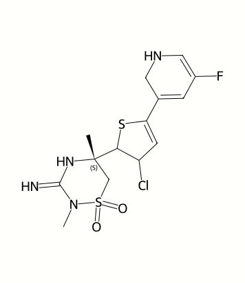 CN1C(=N)N[C@](C)(C2SC(C3=CC(F)=CNC3)=CC2Cl)CS1(=O)=O